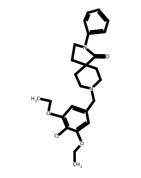 CCOc1cc(CN2CCC3(CC2)CCN(c2ccccc2)C3=O)cc(OCC)c1Cl